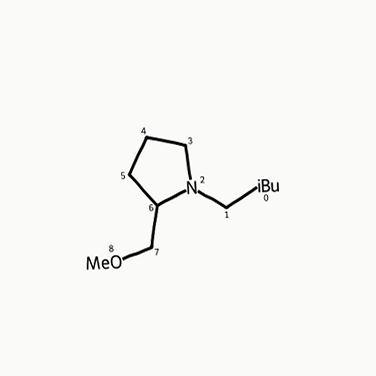 CCC(C)CN1CCCC1COC